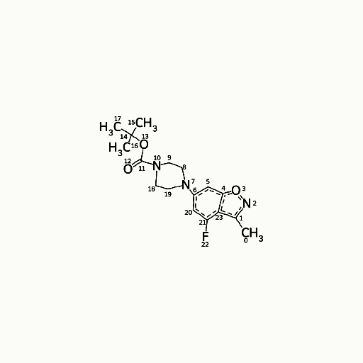 Cc1noc2cc(N3CCN(C(=O)OC(C)(C)C)CC3)cc(F)c12